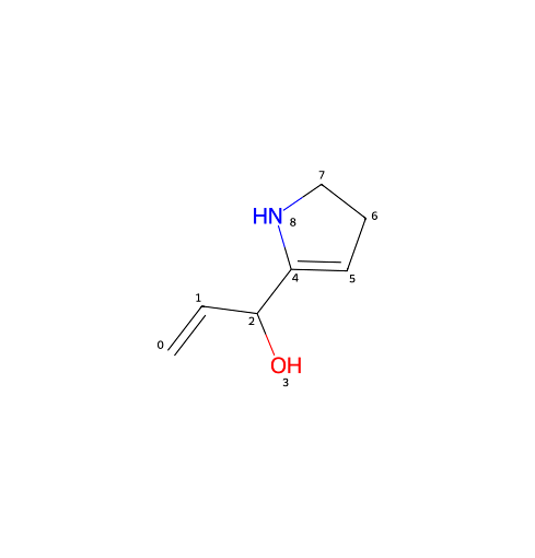 C=CC(O)C1=CCCN1